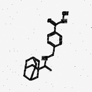 CC(NCc1ccc(C(=O)NO)cc1)C12CC3CC(CC(C3)C1)C2